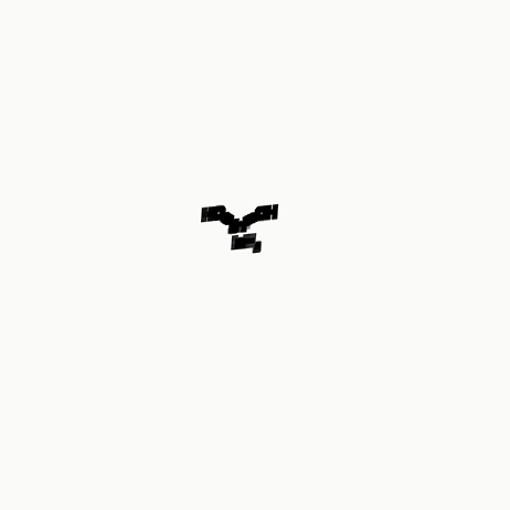 [InH3].[OH][Sn][OH]